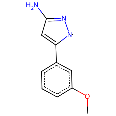 COc1cccc(C2=CC(N)=N[N]2)c1